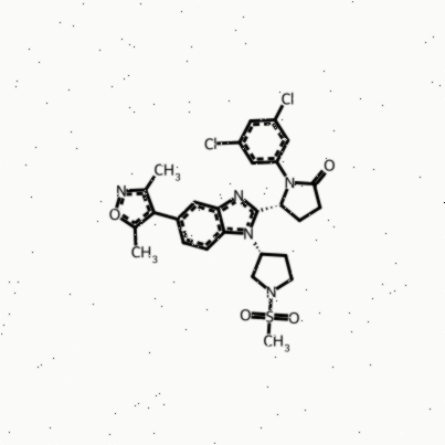 Cc1noc(C)c1-c1ccc2c(c1)nc([C@H]1CCC(=O)N1c1cc(Cl)cc(Cl)c1)n2[C@@H]1CCN(S(C)(=O)=O)C1